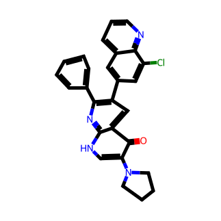 O=c1c(N2CCCC2)c[nH]c2nc(-c3ccccc3)c(-c3cc(Cl)c4ncccc4c3)cc12